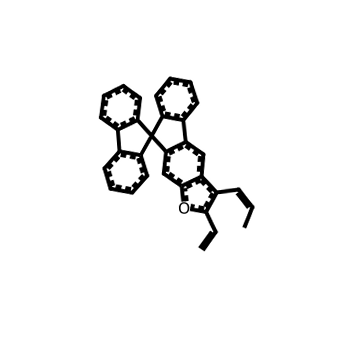 C=Cc1oc2cc3c(cc2c1/C=C\C)-c1ccccc1C31c2ccccc2-c2ccccc21